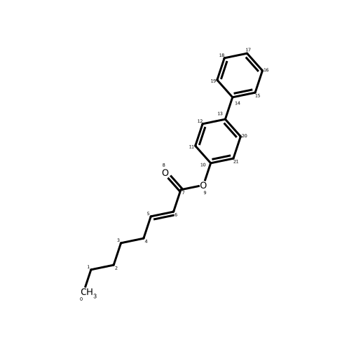 CCCCCC=CC(=O)Oc1ccc(-c2ccccc2)cc1